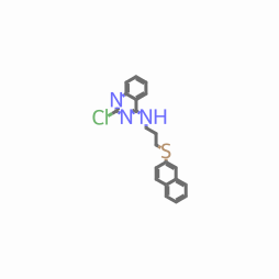 Clc1nc(NCCCSc2ccc3ccccc3c2)c2ccccc2n1